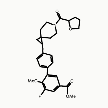 COC(=O)c1cc(F)c(OC)c(-c2ccc(C3CC34CCN(C(=O)C3CCCO3)CC4)cc2)c1